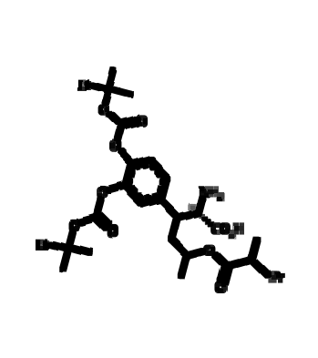 CCC(C)(C)OC(=O)Oc1ccc(C(CC(C)OC(=O)C(C)C(C)C)[C@H](N)C(=O)O)cc1OC(=O)OC(C)(C)CC